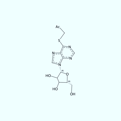 CC(=O)CSc1ncnc2c1ncn2[C@@H]1O[C@H](CO)C(O)C1O